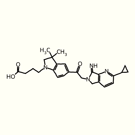 CC1(C)CN(CCCC(=O)O)c2ccc(C(=O)CN3Cc4ccc(C5CC5)nc4C3=N)cc21